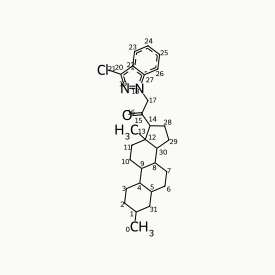 CC1CCC2C(CCC3C2CCC2(C)C(C(=O)Cn4nc(Cl)c5ccccc54)CCC32)C1